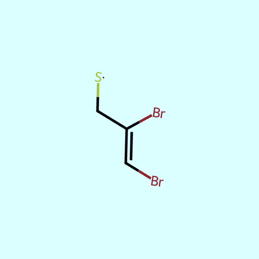 [S]CC(Br)=CBr